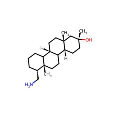 C[C@@]1(O)CC[C@@H]2C3CC[C@@]4(C)C(CCC[C@@H]4CN)[C@@H]3CC[C@]2(C)C1